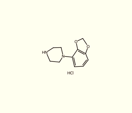 Cl.c1cc2c(c(N3CCNCC3)c1)OCO2